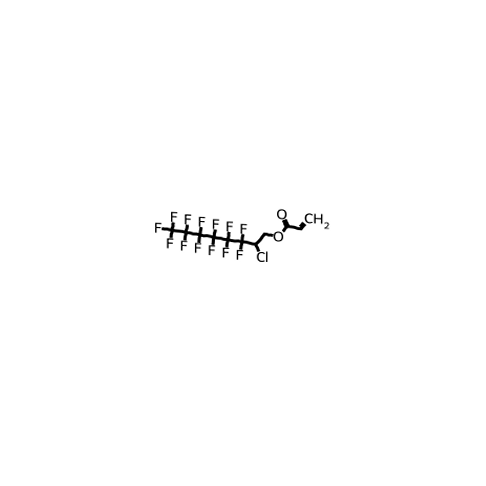 C=CC(=O)OCC(Cl)C(F)(F)C(F)(F)C(F)(F)C(F)(F)C(F)(F)C(F)(F)F